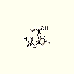 C=CC(=O)O.Cc1csc(CC(C)N)c1